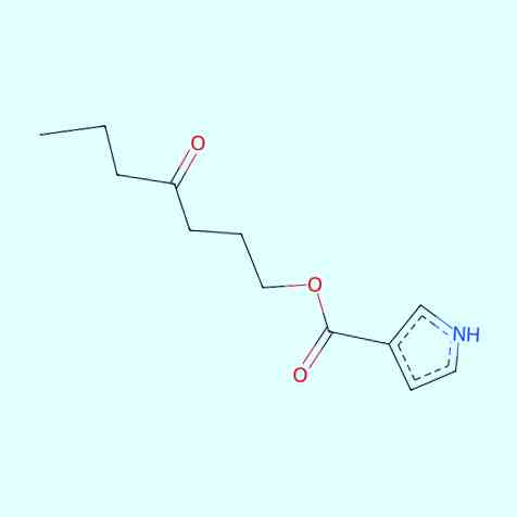 CCCC(=O)CCCOC(=O)c1cc[nH]c1